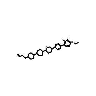 C=CCCC1CCC(C2CCC(C3CCC(c4ccc(-c5ccc(OCC)c(F)c5F)cc4)CO3)CC2)CC1